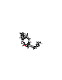 CC[C@H]1OC(=O)[C@H](C)C(=O)[C@H](C)[C@@H](O[C@@H]2OC(C)CC(N(C)C)C2O)[C@](C)(OC)C[C@@H](C)CN(C)[C@H](C)[C@H]2N(CCCCn3cc(-c4cccc(N)c4)nn3)C(=O)O[C@]12C